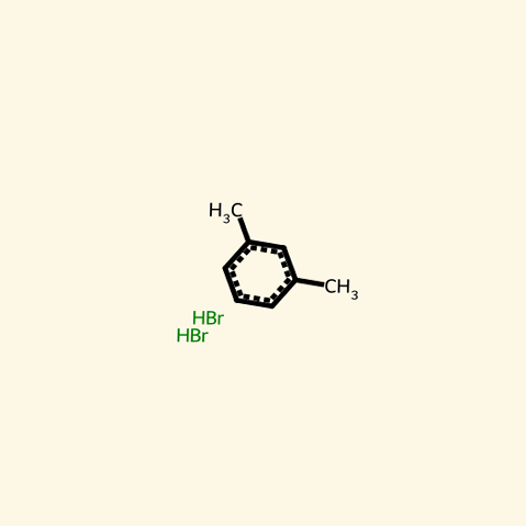 Br.Br.Cc1cccc(C)c1